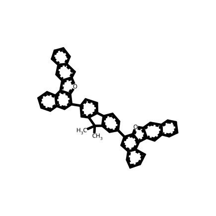 CC1(C)c2cc(-c3cc4ccccc4c4c3oc3cc5ccccc5cc34)ccc2-c2ccc(-c3cc4ccccc4c4c3oc3cc5ccccc5cc34)cc21